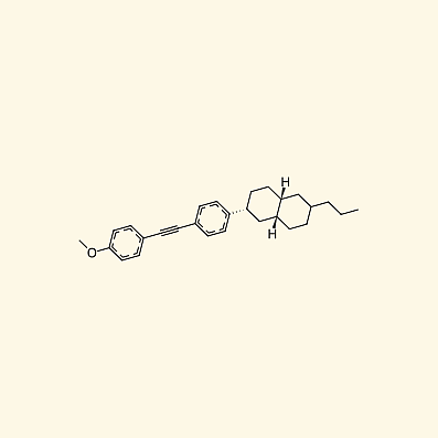 CCCC1CC[C@@H]2C[C@H](c3ccc(C#Cc4ccc(OC)cc4)cc3)CC[C@@H]2C1